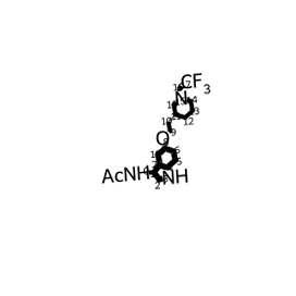 CC(=O)Nc1c[nH]c2ccc(OCC[C@H]3CCCN(CC(F)(F)F)C3)cc12